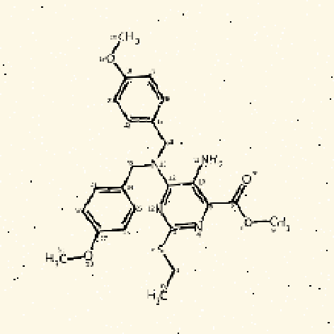 CCSc1nc(C(=O)OC)c(N)c(N(Cc2ccc(OC)cc2)Cc2ccc(OC)cc2)n1